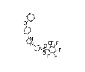 O=S(=O)(c1c(F)c(F)c(F)c(F)c1C(F)(F)F)N1CCC(n2ccc(-c3ccc(Oc4ccccc4)cc3)n2)C1